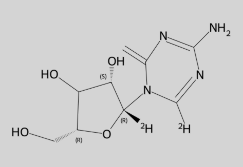 [2H]C1=NC(N)=NC(=C)N1[C@]1([2H])O[C@H](CO)C(O)[C@@H]1O